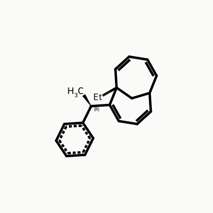 CCC12C=CC=CC(C=CC=C1[C@H](C)c1ccccc1)C2